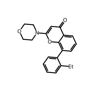 CCc1ccccc1-c1cccc2c(=O)cc(N3CCOCC3)oc12